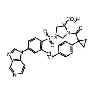 O=C(O)[C@@H]1C[C@@H](S(=O)(=O)c2ccc(-n3cnc4cnccc43)cc2Cl)CN1C(=O)C1(c2ccc(Cl)cc2)CC1